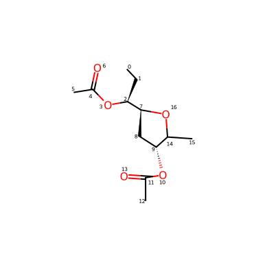 CC[C@H](OC(C)=O)[C@@H]1C[C@@H](OC(C)=O)C(C)O1